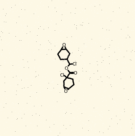 O=C(OC(Cl)C1CCC2OC2C1)C1(Cl)CCC2OC2C1